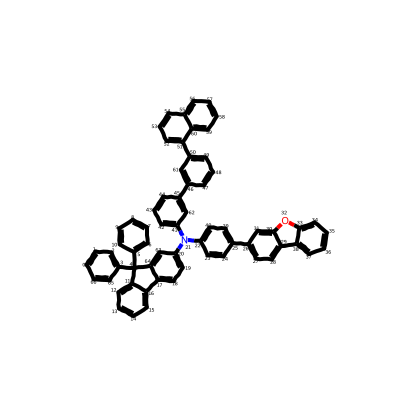 c1ccc(C2(c3ccccc3)c3ccccc3-c3ccc(N(c4ccc(-c5ccc6c(c5)oc5ccccc56)cc4)c4cccc(-c5cccc(-c6cccc7ccccc67)c5)c4)cc32)cc1